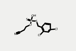 N#CCCOP(O)(=S)SCc1ccc(Cl)cc1Cl